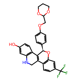 Oc1ccc2c(c1)NCC1=C2[C@@H](c2ccc(OCC3OCCCO3)cc2)Oc2cc(C(F)(F)F)ccc21